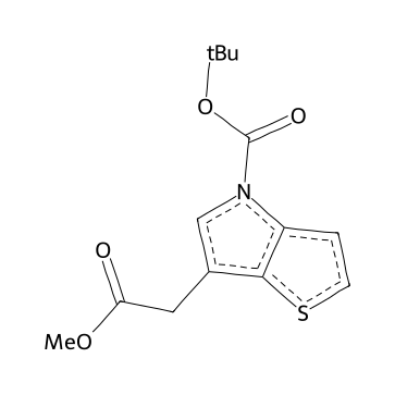 COC(=O)Cc1cn(C(=O)OC(C)(C)C)c2ccsc12